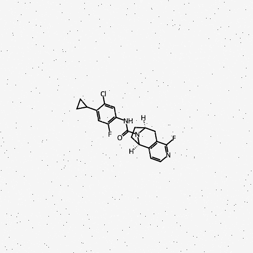 O=C(Nc1cc(Cl)c(C2CC2)cc1F)N1[C@H]2CC[C@@H]1c1ccnc(F)c1C2